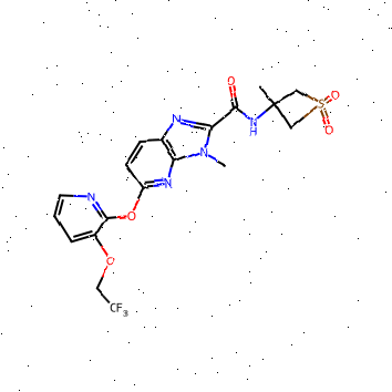 Cn1c(C(=O)NC2(C)CS(=O)(=O)C2)nc2ccc(Oc3ncccc3OCC(F)(F)F)nc21